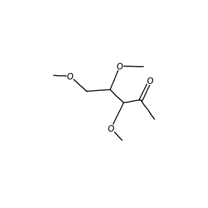 COCC(OC)C(OC)C(C)=O